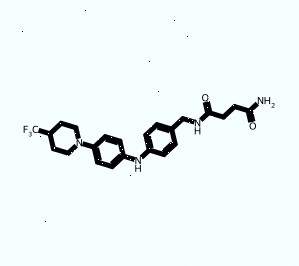 NC(=O)CCC(=O)NCc1ccc(Nc2ccc(N3CCC(C(F)(F)F)CC3)cc2)cc1